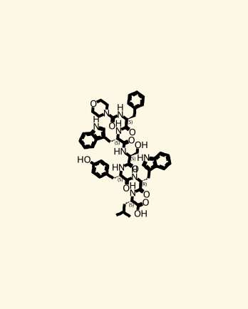 CC(C)C[C@H](NC(=O)[C@@H](Cc1c[nH]c2ccccc12)NC(=O)[C@H](Cc1ccc(O)cc1)NC(=O)[C@H](CO)NC(=O)[C@H](Cc1c[nH]c2ccccc12)NC(=O)[C@H](Cc1ccccc1)NC(=O)N1CCOCC1)C(=O)O